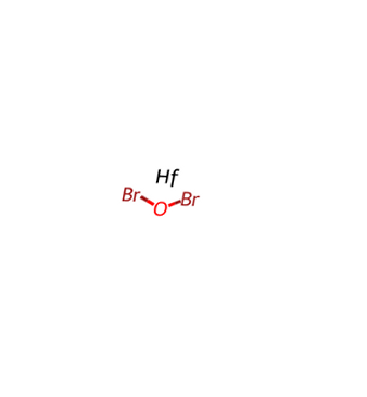 BrOBr.[Hf]